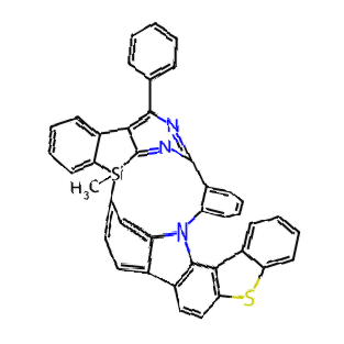 C[Si]12c3ccc4c5ccc6sc7ccccc7c6c5n(c4c3)-c3ccccc3-c3nc(-c4ccccc4)c(c1n3)-c1ccccc12